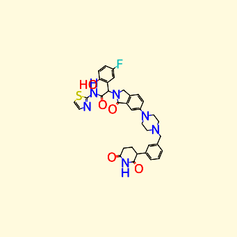 O=C1CCC(c2cccc(CN3CCN(c4ccc5c(c4)C(=O)N(C(C(=O)Nc4nccs4)c4cc(F)ccc4O)C5)CC3)c2)C(=O)N1